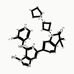 CC(C)n1cnc2cc(-c3ccc4c(c3)N([C@H]3C[C@@H](N5CCCC5)C3)C(=O)C4(C)C)nc(Nc3ccncc3F)c21